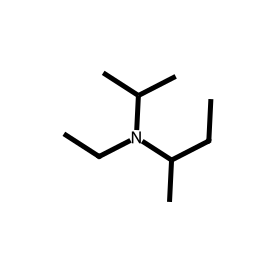 CCC(C)N(CC)C(C)C